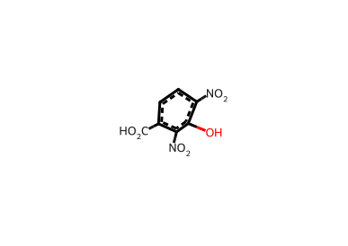 O=C(O)c1ccc([N+](=O)[O-])c(O)c1[N+](=O)[O-]